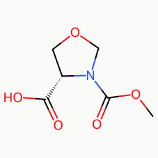 COC(=O)N1COC[C@H]1C(=O)O